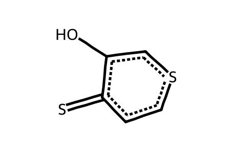 Oc1csccc1=S